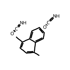 Cc1ccc(C)c2ccccc12.N=C=O.N=C=O